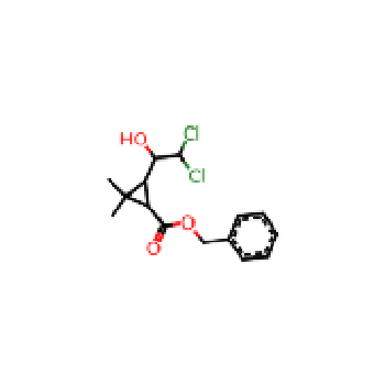 CC1(C)C(C(=O)OCc2ccccc2)C1C(O)C(Cl)Cl